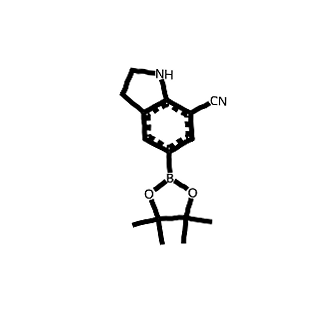 CC1(C)OB(c2cc(C#N)c3c(c2)CCN3)OC1(C)C